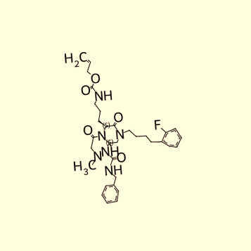 C=CCOC(=O)NCCC[C@H]1C(=O)N(CCCCc2ccccc2F)C[C@H]2N1C(=O)CN(C)N2C(=O)NCc1ccccc1